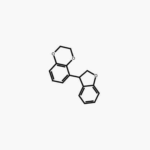 c1ccc2c(c1)OCC2c1cccc2c1OCCO2